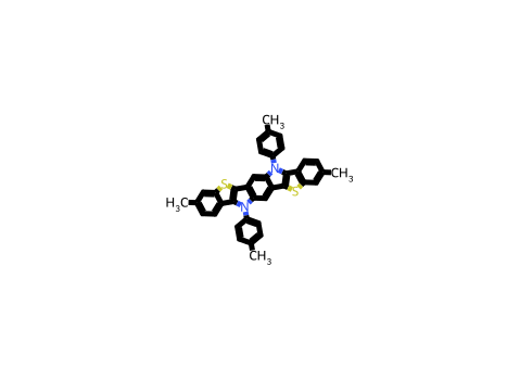 Cc1ccc(-n2c3cc4c5sc6cc(C)ccc6c5n(-c5ccc(C)cc5)c4cc3c3sc4cc(C)ccc4c32)cc1